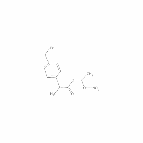 CC(C)Cc1ccc(C(C)C(=O)OC(C)O[N+](=O)[O-])cc1